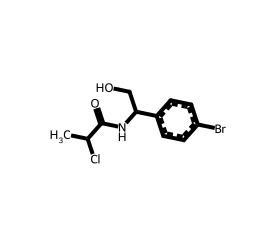 CC(Cl)C(=O)NC(CO)c1ccc(Br)cc1